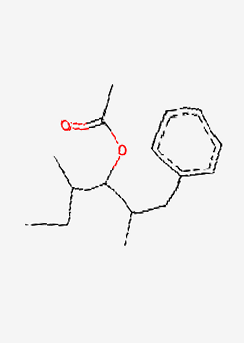 [CH2]CC(C)C(OC(C)=O)C(C)Cc1ccccc1